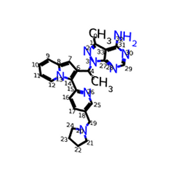 Cc1nn(C(C)c2cc3ccccn3c2-c2ccc(CN3CCCC3)cn2)c2ncnc(N)c12